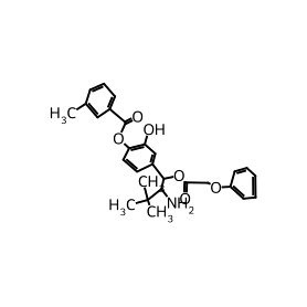 Cc1cccc(C(=O)Oc2ccc(C(OC(=O)COc3ccccc3)C(N)C(C)(C)C)cc2O)c1